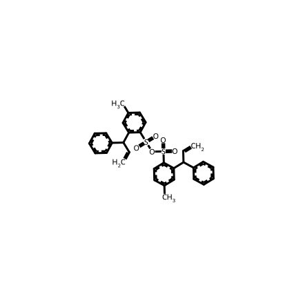 C=CC(c1ccccc1)c1cc(C)ccc1S(=O)(=O)OS(=O)(=O)c1ccc(C)cc1C(C=C)c1ccccc1